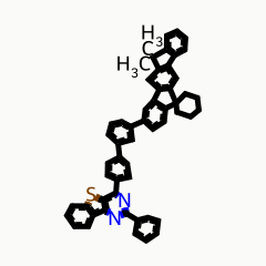 CC1(C)c2ccccc2-c2cc3c(cc21)-c1cc(-c2cccc(-c4ccc(-c5nc(-c6ccccc6)nc6c5sc5ccccc56)cc4)c2)ccc1C31CCCCC1